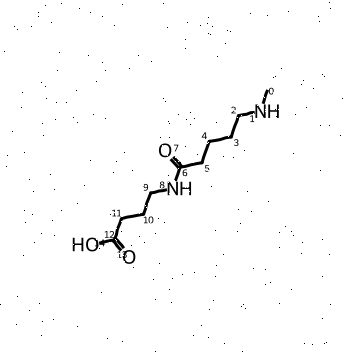 CNCCCCC(=O)NCCCC(=O)O